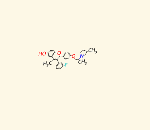 CC1=C(c2cccc(F)c2)C(c2ccc(OC[C@H](C)N3CC[C@@H](C)C3)cc2)Oc2ccc(O)cc21